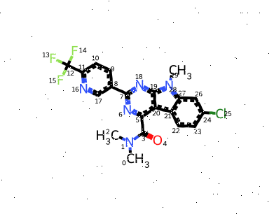 CN(C)C(=O)c1nc(-c2ccc(C(F)(F)F)nc2)nc2c1c1ccc(Cl)cc1n2C